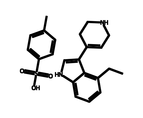 CCc1cccc2[nH]cc(C3=CCNCC3)c12.Cc1ccc(S(=O)(=O)O)cc1